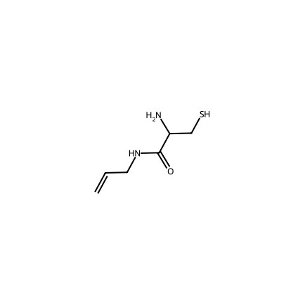 C=CCNC(=O)C(N)CS